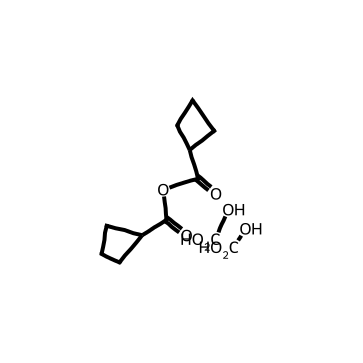 O=C(O)O.O=C(O)O.O=C(OC(=O)C1CCC1)C1CCC1